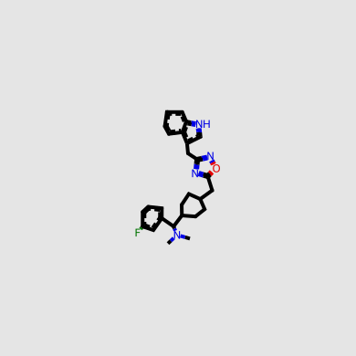 CN(C)C(c1cccc(F)c1)C1CCC(Cc2nc(Cc3c[nH]c4ccccc34)no2)CC1